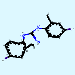 Cc1cc(I)ccc1NC(=N)Nc1ccc(I)cc1C